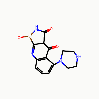 O=C1N[S+]([O-])C2=Nc3cccc(N4CCNCC4)c3C(=O)C12